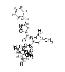 CC(C)C[C@H](NC(=O)C1CC(Cc2ccccc2)=NO1)B1O[C@@H]2C[C@@H]3C[C@@H](C3(C)C)[C@]2(C)O1